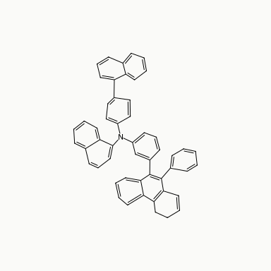 C1=Cc2c(-c3ccccc3)c(-c3cccc(N(c4ccc(-c5cccc6ccccc56)cc4)c4cccc5ccccc45)c3)c3ccccc3c2CC1